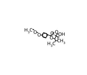 CCOCOc1ccc(C(=O)OC(C(C)C)C(F)(F)C(=O)O)cc1